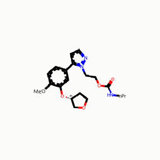 CCCNC(=O)OCCn1nccc1-c1ccc(OC)c(O[C@@H]2CCOC2)c1